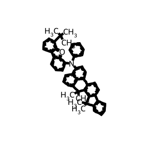 CC(C)(C)c1cccc2c1oc1c(N(c3ccccc3)c3ccc4c5c(cccc35)C(C)(C)c3c-4ccc4c3C(C)(C)c3ccccc3-4)cccc12